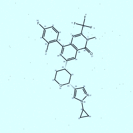 Cn1c(C(F)(F)F)nc2c(-c3ccc(F)cc3F)nc([C@H]3CCO[C@@H](c4cnn(C5CC5)c4)C3)cc2c1=O